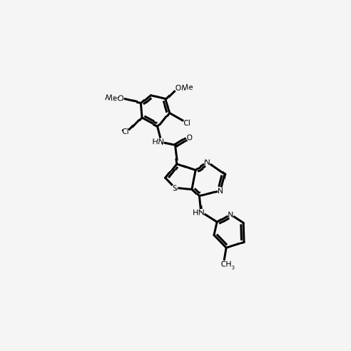 COc1cc(OC)c(Cl)c(NC(=O)c2csc3c(Nc4cc(C)ccn4)ncnc23)c1Cl